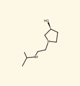 CC(C)NCCN1CC[C@H](O)C1